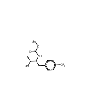 C[C@H](O)[C@H](Cc1ccc(C(F)(F)F)cc1)NC(=O)OC(C)(C)C